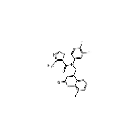 Cc1ncsc1C(=O)N(Cc1cc(=O)[nH]c2c(F)cccc12)c1ccc(F)c(Cl)c1